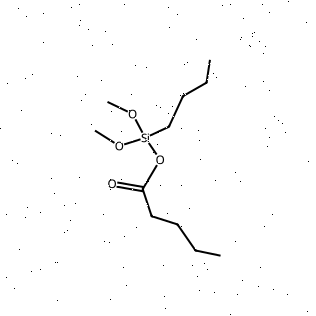 CCCCC(=O)O[Si](CCCC)(OC)OC